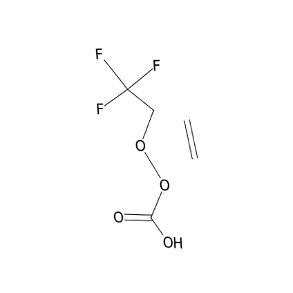 C=C.O=C(O)OOCC(F)(F)F